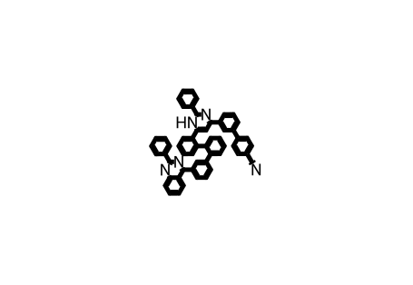 N#Cc1ccc(-c2cccc(C3=NC(c4ccccc4)NC(c4ccccc4-c4ccccc4-c4cccc(-c5nc(-c6ccccc6)nc6ccccc56)c4)=C3)c2)cc1